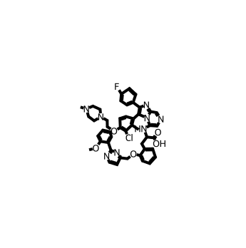 COc1ccccc1-c1nccc(COc2ccccc2CC(Nc2cncc3nc(-c4ccc(F)cc4)c(-c4ccc(OCCN5CCN(C)CC5)c(Cl)c4C)n23)C(=O)O)n1